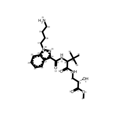 COC(=O)[C@@H](O)CNC(=O)C(NC(=O)c1nn(CCCCN)c2ccccc12)C(C)(C)C